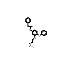 COCCOc1cc(NC(=O)Nc2ccccc2)ccc1Oc1ccccc1